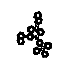 c1ccc([Si](c2ccccc2)(c2ccccc2)c2ccc(N(c3ccc(-c4cccc5ccccc45)cc3)c3cccc4c3c3ccccc3n4-c3ccc4ccccc4c3)cc2)cc1